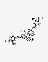 O=C(/C=C/c1ccc(O)c(O)c1)O[C@H]1C(O)C[C@](OC(=O)/C=C/c2ccc(O)c(O)c2)(C(=O)O)C[C@H]1O